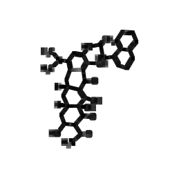 C=C(Nc1cc(N(C)C)c2c(c1O)C(=O)C1=C(O)[C@]3(O)C(=O)C(C(N)=O)C(O)C[C@@H]3C[C@@H]1C2)Nc1cccc2ccccc12